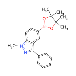 Cn1nc(-c2ccccc2)c2cc(B3OC(C)(C)C(C)(C)O3)ccc21